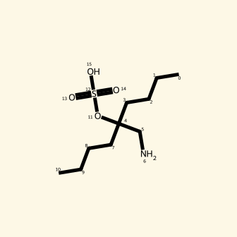 CCCCC(CN)(CCCC)OS(=O)(=O)O